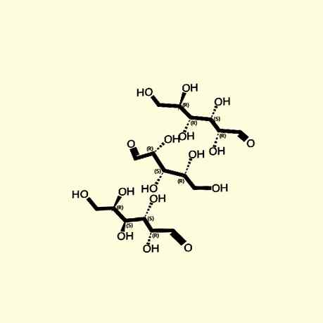 O=C[C@H](O)[C@@H](O)[C@@H](O)[C@H](O)CO.O=C[C@H](O)[C@@H](O)[C@H](O)CO.O=C[C@H](O)[C@@H](O)[C@H](O)[C@H](O)CO